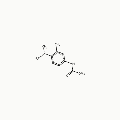 COC(=O)Nc1ccc(N(C)C)c(C)c1